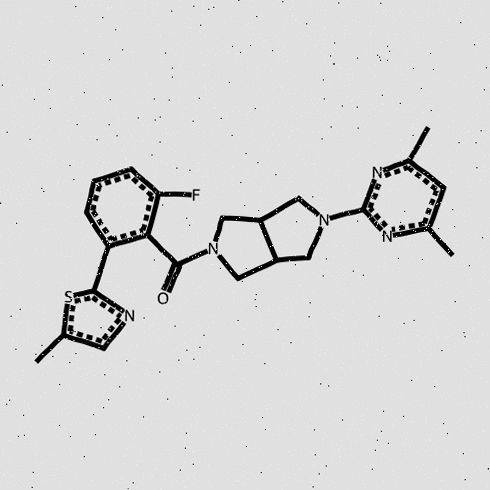 Cc1cc(C)nc(N2CC3CN(C(=O)c4c(F)cccc4-c4ncc(C)s4)CC3C2)n1